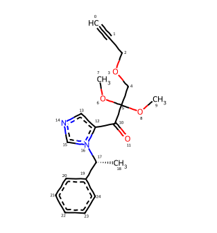 C#CCOCC(OC)(OC)C(=O)c1cncn1[C@H](C)c1ccccc1